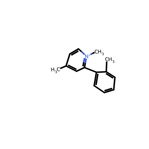 Cc1cc[n+](C)c(-c2ccccc2C)c1